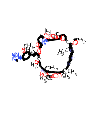 COC1CC(C[C@@H](C)[C@@H]2CC(=O)C(C)/C=C(\C)[C@@H](O)C(OC)C(=O)C(C)CC(C)/C=C/C=C/C=C(\C)[C@@H](OC)C[C@@H]3CCC(C)C(O)(O3)C(=O)C(=O)N3CCCCC3C(=O)O2)CCC1n1cnnn1